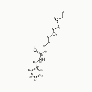 CCOCCOCCCCC(=O)NCc1ccccc1